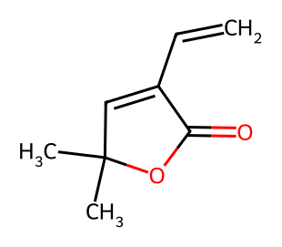 C=CC1=CC(C)(C)OC1=O